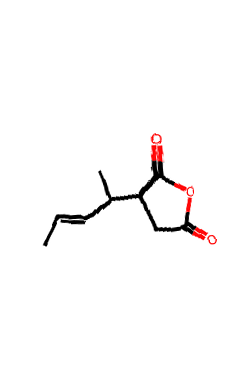 CC=CC(C)C1CC(=O)OC1=O